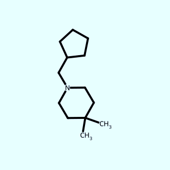 CC1(C)CCN(CC2CCCC2)CC1